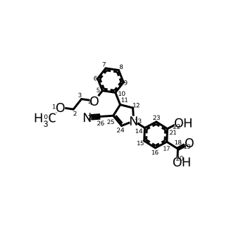 COCCOc1ccccc1C1CN(c2ccc(C(=O)O)c(O)c2)C=C1C#N